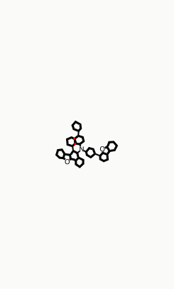 c1ccc(-c2ccc(N(c3ccc(-c4cccc5c4oc4ccccc45)cc3)c3c(-c4ccccc4)c4c5ccccc5oc4c4ccccc34)cc2)cc1